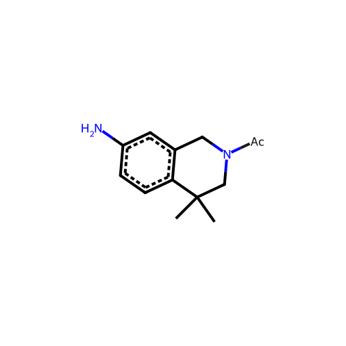 CC(=O)N1Cc2cc(N)ccc2C(C)(C)C1